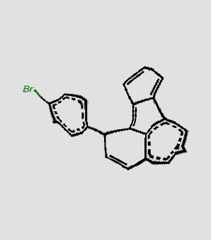 Brc1ccc(C2C=Cc3cccc4c3C2=C2C=CC=C24)cc1